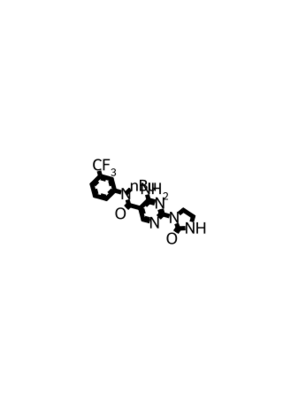 CCCCN(C(=O)c1cnc(N2CCNC2=O)nc1N)c1cccc(C(F)(F)F)c1